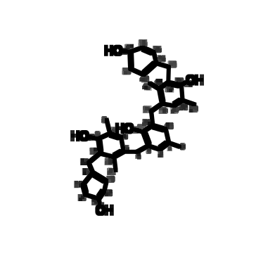 Cc1cc(Cc2cc(C)c(O)c(Cc3ccc(O)cc3)c2C)c(O)c(Cc2cc(C)c(O)c(Cc3ccc(O)cc3)c2C)c1